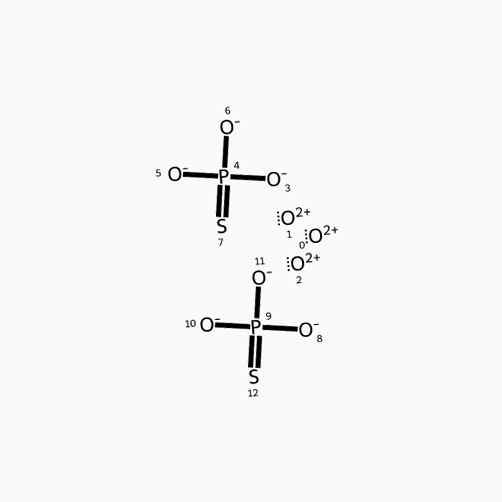 [O+2].[O+2].[O+2].[O-]P([O-])([O-])=S.[O-]P([O-])([O-])=S